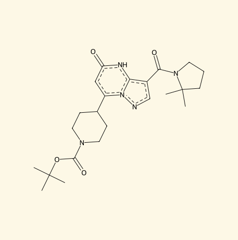 CC(C)(C)OC(=O)N1CCC(c2cc(=O)[nH]c3c(C(=O)N4CCCC4(C)C)cnn23)CC1